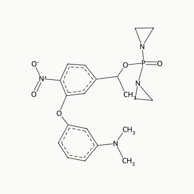 CC(OP(=O)(N1CC1)N1CC1)c1ccc([N+](=O)[O-])c(Oc2cccc(N(C)C)c2)c1